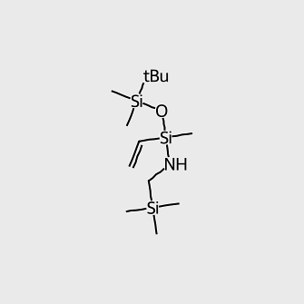 C=C[Si](C)(NC[Si](C)(C)C)O[Si](C)(C)C(C)(C)C